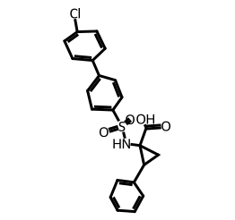 O=C(O)C1(NS(=O)(=O)c2ccc(-c3ccc(Cl)cc3)cc2)CC1c1ccccc1